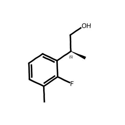 Cc1cccc([C@H](C)CO)c1F